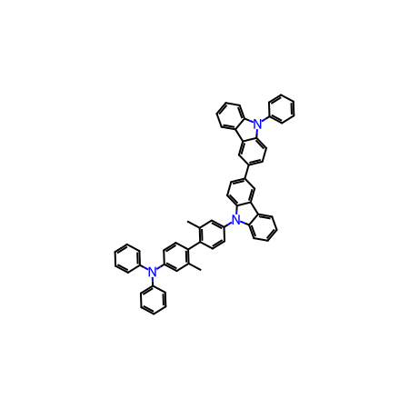 Cc1cc(N(c2ccccc2)c2ccccc2)ccc1-c1ccc(-n2c3ccccc3c3cc(-c4ccc5c(c4)c4ccccc4n5-c4ccccc4)ccc32)cc1C